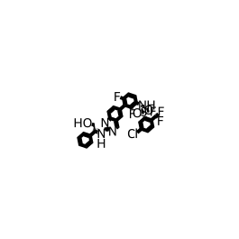 O=S(=O)(Nc1ccc(F)c(-c2ccc3nc(N[C@H](CO)c4ccccc4)ncc3c2)c1F)c1cc(Cl)ccc1C(F)(F)F